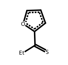 CCC(=S)c1ccco1